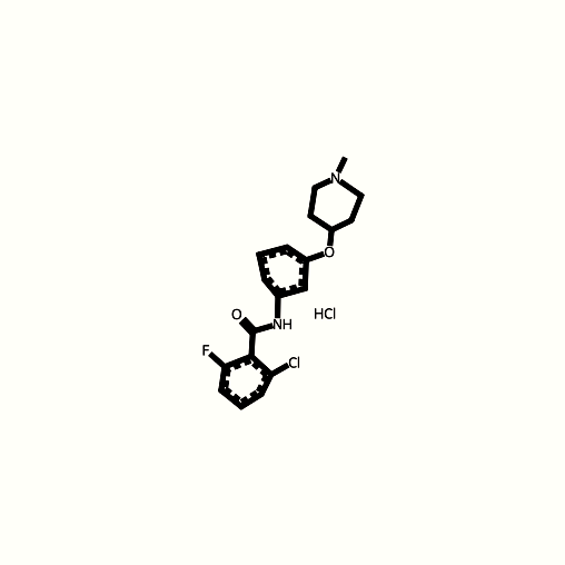 CN1CCC(Oc2cccc(NC(=O)c3c(F)cccc3Cl)c2)CC1.Cl